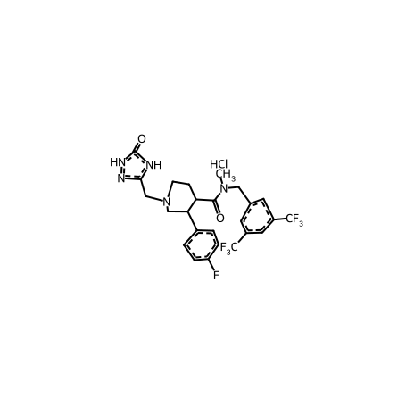 CN(Cc1cc(C(F)(F)F)cc(C(F)(F)F)c1)C(=O)C1CCN(Cc2n[nH]c(=O)[nH]2)CC1c1ccc(F)cc1.Cl